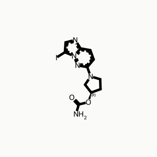 NC(=O)O[C@@H]1CCN(c2ccc3ncc(I)n3n2)C1